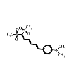 CN(C)c1ccc(/C=C/C=C/C=C(S(=O)(=O)C(F)(F)F)S(=O)(=O)C(F)(F)F)cc1